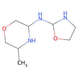 CC1COCC(NC2NCCO2)N1